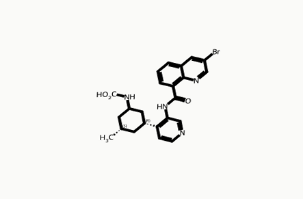 C[C@@H]1CC(NC(=O)O)C[C@H](c2ccncc2NC(=O)c2cccc3cc(Br)cnc23)C1